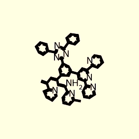 C=C(/C=C(\C=C(/N)c1cccc(C)n1)c1cc(-c2cc(-c3ccccn3)nc(-c3ccccn3)c2)cc(-c2nc(-c3ccccc3)nc(-c3ccccc3)n2)c1)c1ccccn1